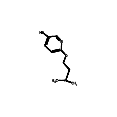 CN(C)CCOc1cnc(S)cn1